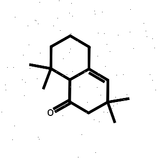 CC1(C)C=C2CCCC(C)(C)C2C(=O)C1